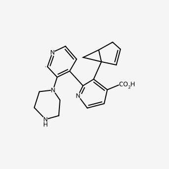 O=C(O)c1ccnc(-c2ccn[c]c2N2CCNCC2)c1C12C=CCC1C2